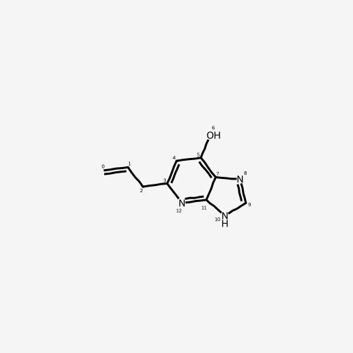 C=CCc1cc(O)c2nc[nH]c2n1